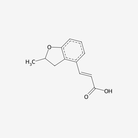 CC1Cc2c(/C=C/C(=O)O)cccc2O1